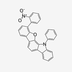 O=[N+]([O-])c1ccccc1-c1cccc2c1oc1c2ccc2c3ccccc3n(-c3ccccc3)c21